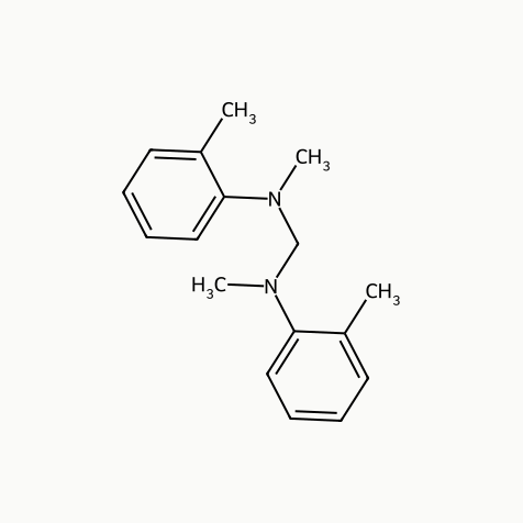 Cc1ccccc1N(C)CN(C)c1ccccc1C